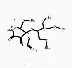 C=CC[C@](OC(COCCCC)[C@H](COCCCC)OCCCC)(C(=O)C(=O)OC)C(C)OCCCC